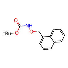 CC(C)(C)OC(=O)NOCc1cccc2ccccc12